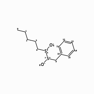 CCCCC[S+]([O-])[S+]([O-])Cc1ccccc1